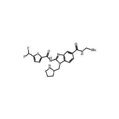 CC(C)(C)CNC(=O)c1ccc2c(c1)nc(NC(=O)c1ccc(C(F)F)s1)n2CC1CCCN1